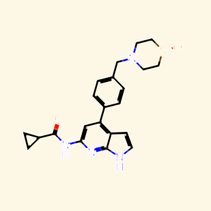 O=C(Nc1cc(-c2ccc(CN3CC[S+]([O-])CC3)cc2)c2cc[nH]c2n1)C1CC1